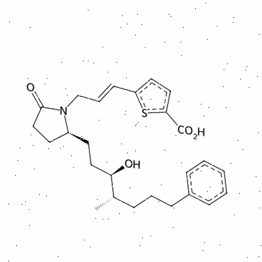 C[C@@H](CCCc1ccccc1)[C@H](O)CC[C@H]1CCC(=O)N1CC=Cc1ccc(C(=O)O)s1